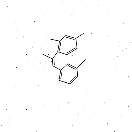 CC(=Cc1cccc(C)c1)c1ccc(C)cc1C